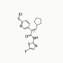 CCSc1ccc(/C(=C\C2CCCC2)C(=O)Nc2ncc(F)s2)cn1